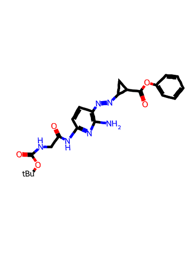 CC(C)(C)OC(=O)NCC(=O)Nc1ccc(N=NC2CC2C(=O)Oc2ccccc2)c(N)n1